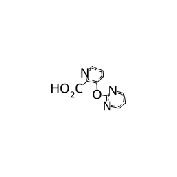 O=C(O)c1ncccc1Oc1ncccn1